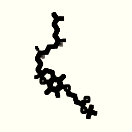 Cc1c(C)c2c(c(C)c1OCCCC(=O)OC(C)(C)C)CC[C@@](C)(CCC[C@H](C)CCC[C@H](C)CCCC(C)C)O2